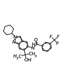 CC(C)(O)c1cc2nn(C3CCCCC3)cc2cc1NC(=O)c1cccc(C(F)(F)F)c1